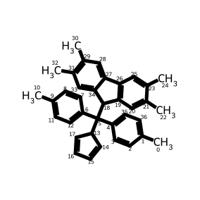 Cc1ccc(C(c2ccc(C)cc2)(C2C=CC=C2)C2c3cc(C)c(C)cc3-c3cc(C)c(C)cc32)cc1